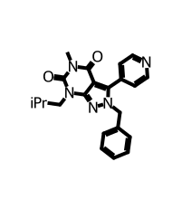 CC(C)Cn1c(=O)n(C)c(=O)c2c(-c3ccncc3)n(Cc3ccccc3)nc21